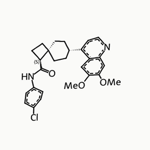 COc1cc2nccc([C@H]3CC[C@]4(CC[C@@H]4C(=O)Nc4ccc(Cl)cc4)CC3)c2cc1OC